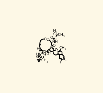 Cc1nc2cc(F)c(F)cc2c2c1O[C@]1(CC2)C[C@H]2C(=O)N[C@]3(C(=O)NS(=O)(=O)C4(C)CC4)C[C@H]3/C=C\CCCCC[C@H](NC(=O)OC(C)C)C(=O)N2C1